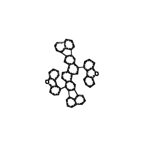 c1cc2c3c(cccc3c1)-c1cc3c(cc1-2)c(-c1cccc2oc4ccccc4c12)cc1c2cc4c(c(-c5cccc6oc7ccccc7c56)c2ccc31)-c1cccc2cccc-4c12